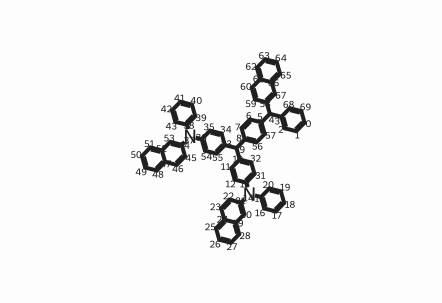 c1ccc(C(c2ccc(C(c3ccc(N(c4ccccc4)c4ccc5ccccc5c4)cc3)c3ccc(N(c4ccccc4)c4ccc5ccccc5c4)cc3)cc2)c2ccc3ccccc3c2)cc1